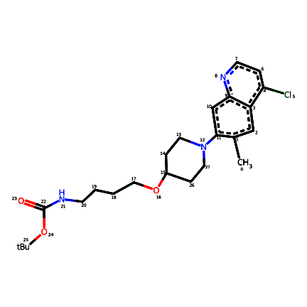 Cc1cc2c(Cl)ccnc2cc1N1CCC(OCCCCNC(=O)OC(C)(C)C)CC1